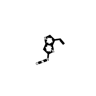 C=Cc1csc2cc(N=C=O)sc12